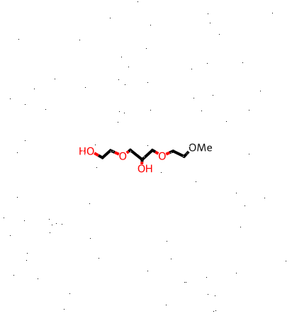 COCCOCC(O)COCCO